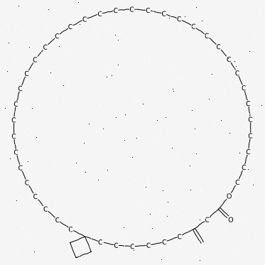 C=C1CCCCCCC2(CCCCCCCCCCCCCCCCCCCCCCCCCCCCCCCCCCCOC(=O)C1)CCC2